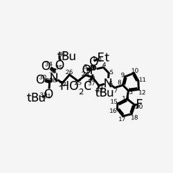 CCOP1(=O)CCN(Cc2ccccc2-c2ccccc2F)C(C(C)(C)C)C1(CCCCN(C(=O)OC(C)(C)C)C(=O)OC(C)(C)C)C(=O)O